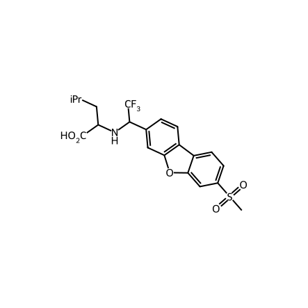 CC(C)CC(NC(c1ccc2c(c1)oc1cc(S(C)(=O)=O)ccc12)C(F)(F)F)C(=O)O